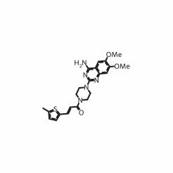 COc1cc2nc(N3CCN(C(=O)/C=C/c4ccc(C)s4)CC3)nc(N)c2cc1OC